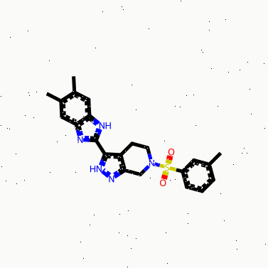 Cc1cccc(S(=O)(=O)N2CCc3c(n[nH]c3-c3nc4cc(C)c(C)cc4[nH]3)C2)c1